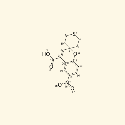 O=C(O)C1=CC2(CCSCC2)Oc2ccc([N+](=O)[O-])cc21